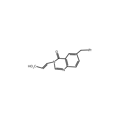 CC(C)Cc1ccc2ncn(C=CC(=O)O)c(=O)c2c1